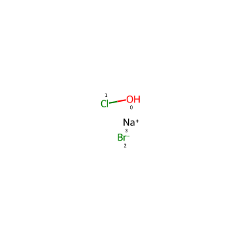 OCl.[Br-].[Na+]